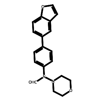 O=CN(c1ccc(-c2ccc3occc3c2)cc1)N1CCOCC1